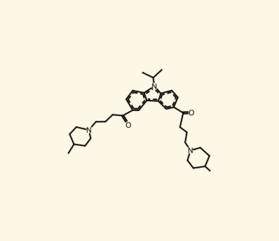 CC1CCN(CCCC(=O)c2ccc3c(c2)c2cc(C(=O)CCCN4CCC(C)CC4)ccc2n3C(C)C)CC1